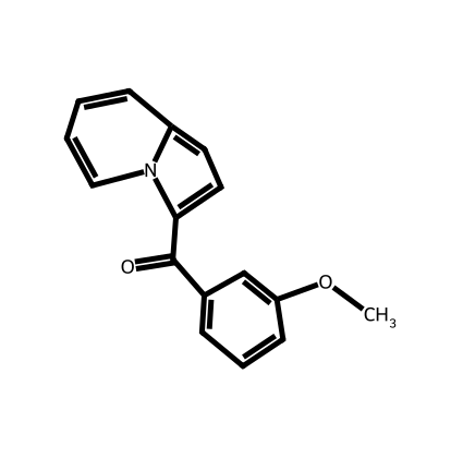 COc1cccc(C(=O)c2ccc3ccccn23)c1